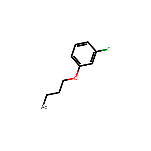 CC(=O)CCCOc1cccc(F)c1